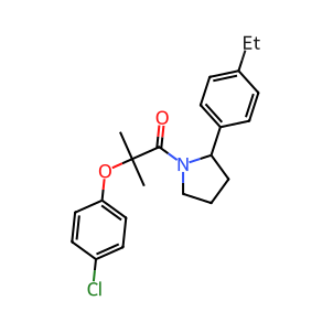 CCc1ccc(C2CCCN2C(=O)C(C)(C)Oc2ccc(Cl)cc2)cc1